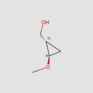 CO[C@@H]1C[C@H]1CO